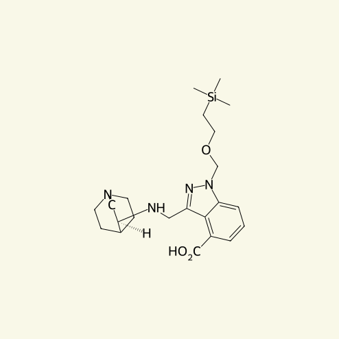 C[Si](C)(C)CCOCn1nc(CN[C@@H]2CN3CCC2CC3)c2c(C(=O)O)cccc21